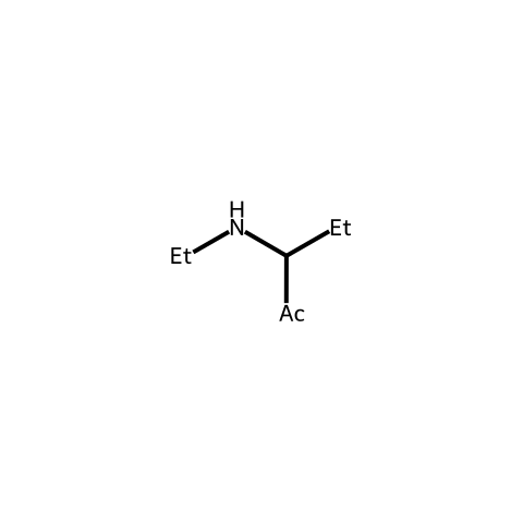 CCNC(CC)C(C)=O